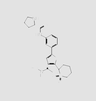 O=C(C[C@]1(c2ccc(-c3cccc(NC(=O)[C@@H]4CCCN4)c3)s2)CCCCS1(=O)=O)NO